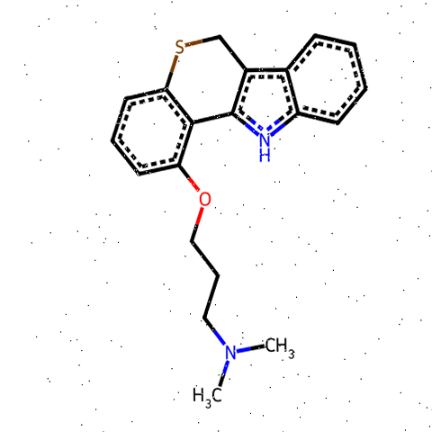 CN(C)CCCOc1cccc2c1-c1[nH]c3ccccc3c1CS2